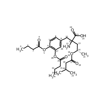 CCCC(=O)Oc1ccc(CC(N)(C[C@H](C)OC(=O)CC(C)C)C(=O)O)cc1OC(=O)CCC